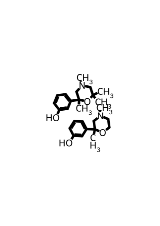 CN1CC(C)(C)OC(C)(c2cccc(O)c2)C1.CN1CCOC(C)(c2cccc(O)c2)C1